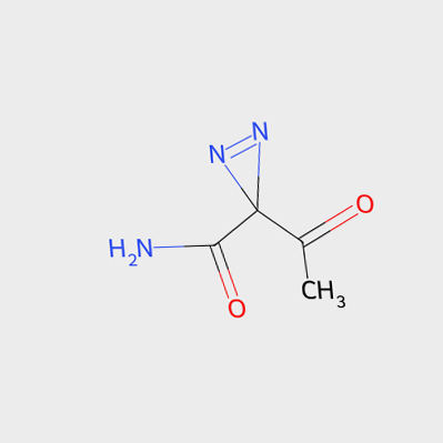 CC(=O)C1(C(N)=O)N=N1